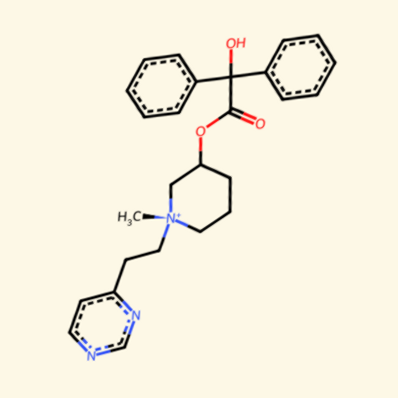 C[N@+]1(CCc2ccncn2)CCCC(OC(=O)C(O)(c2ccccc2)c2ccccc2)C1